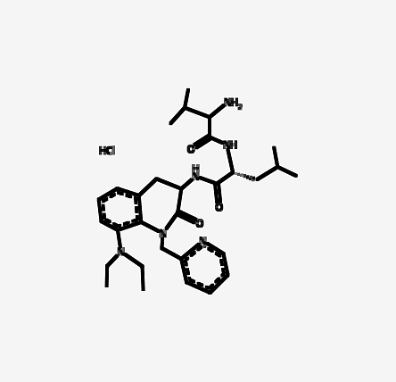 CCN(CC)c1cccc2c1N(Cc1ccccn1)C(=O)C(NC(=O)[C@@H](CC(C)C)NC(=O)C(N)C(C)C)C2.Cl